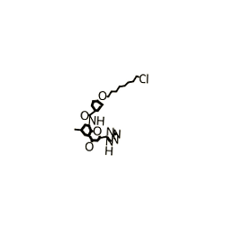 Cc1cc(NC(=O)c2ccc(OCCCCCCCCCl)cc2)c2oc(-c3nnn[nH]3)cc(=O)c2c1